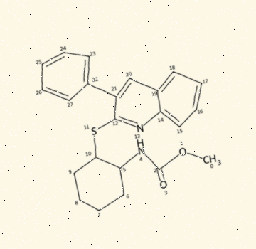 COC(=O)NC1CCCCC1Sc1nc2ccccc2cc1-c1ccccc1